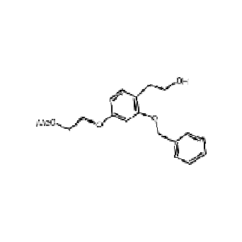 COCCOc1ccc(CCO)c(OCc2ccccc2)c1